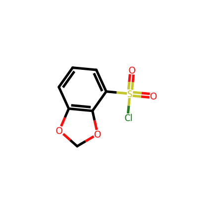 O=S(=O)(Cl)c1cccc2c1OCO2